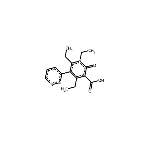 CCc1c(-c2cccnn2)c(CC)n(CC)c(=O)c1C(=O)O